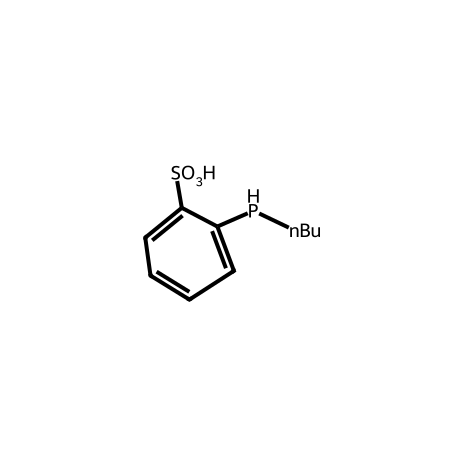 CCCCPc1ccccc1S(=O)(=O)O